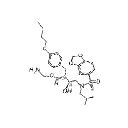 C=S(=O)(c1ccc2c(c1)OCO2)N(CC(C)C)C[C@@H](O)[C@@H](BOCN)Cc1ccc(OCCCC)cc1